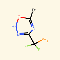 CCC1=NC(C(F)(F)P)=NNO1